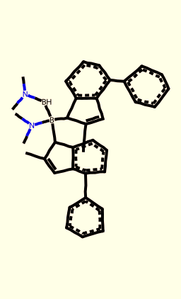 CC1=Cc2c(-c3ccccc3)cccc2C1[B-](BN(C)C)(C1C(C)=Cc2c(-c3ccccc3)cccc21)N(C)C